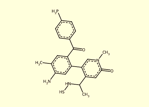 Cc1cc(C(=O)c2ccc(P)cc2)c(-c2cn(C)c(=O)cc2C(C)NS)cc1N